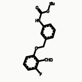 CC(C)(C)OC(=O)Nc1cccc(COc2cccc(F)c2C=O)c1